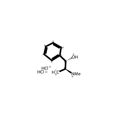 CN[C@@H](C)[C@@H](O)c1ccccc1.Cl.Cl